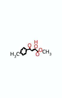 COC(=O)/C(O)=C/C(=O)c1ccc(C)cc1